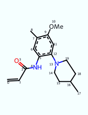 C=CC(=O)Nc1cc(C)c(OC)cc1N1CCC(C)CC1